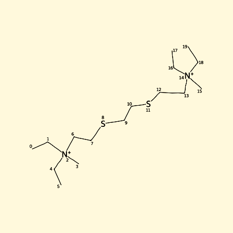 CC[N+](C)(CC)CCSCCSCC[N+](C)(CC)CC